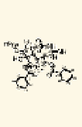 CCCO[C@H]([C@H](OCCC)[C@](O)(COC(=O)c1ccccc1)[C@@H](C)OCCC)[C@@]1([C@@H](OC(=O)c2ccccc2)C(=O)O)CC(=O)NC(=N)N1